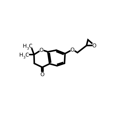 CC1(C)CC(=O)c2ccc(OCC3CO3)cc2O1